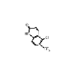 O=c1ccc2c(Cl)c(C(F)(F)F)ccc2[nH]1